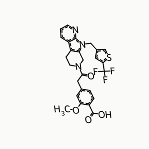 COc1cc(CC(=O)N2CCc3c(n(Cc4csc(C(F)(F)F)c4)c4ncccc34)C2)ccc1C(=O)O